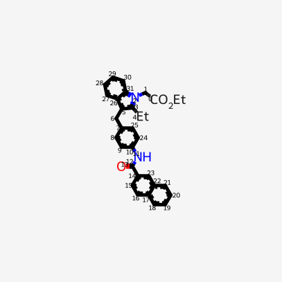 CCOC(=O)Cn1c(CC)c(Cc2ccc(NC(=O)c3ccc4ccccc4c3)cc2)c2ccccc21